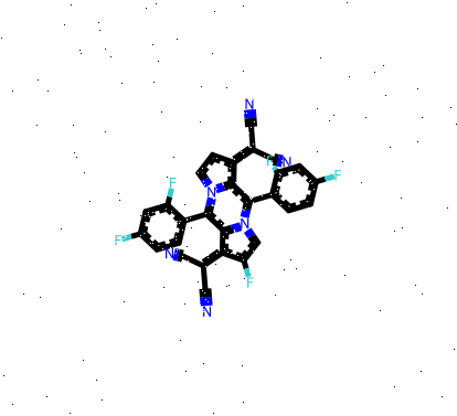 N#CC(C#N)=c1ccn2c(-c3ccc(F)cc3F)c3c(=C(C#N)C#N)c(F)cn3c(-c3ccc(F)cc3F)c12